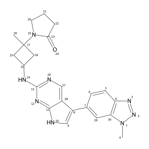 Cn1nnc2ccc(-c3c[nH]c4nc(NC5CC(C)(N6CCCC6=O)C5)ncc34)cc21